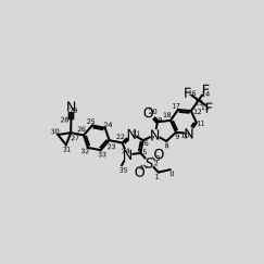 CCS(=O)(=O)c1c(N2Cc3ncc(C(F)(F)F)cc3C2=O)nc(-c2ccc(C3(C#N)CC3)cc2)n1C